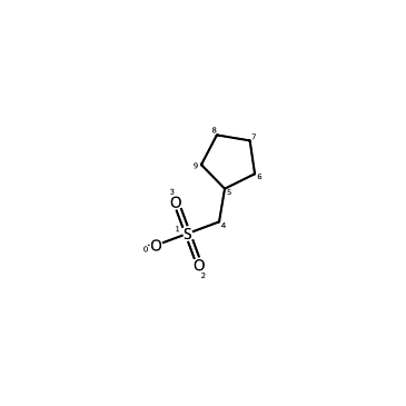 [O]S(=O)(=O)CC1CCCC1